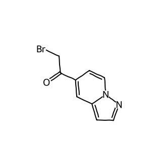 O=C(CBr)c1ccn2nccc2c1